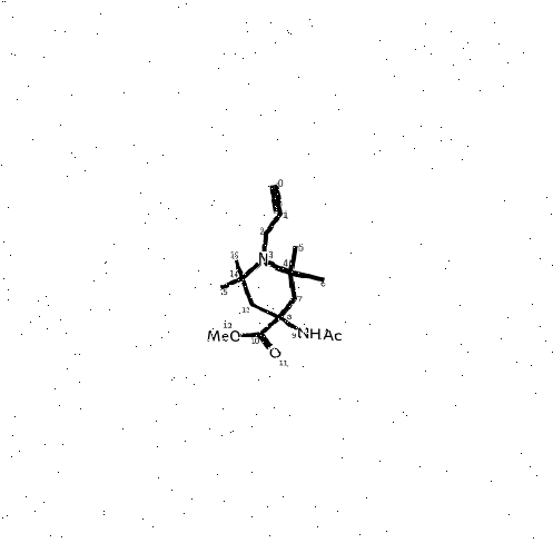 C=CCN1C(C)(C)CC(NC(C)=O)(C(=O)OC)CC1(C)C